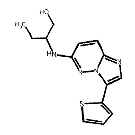 CCC(CO)Nc1ccc2ncc(-c3cccs3)n2n1